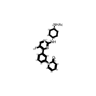 CC(=O)N[C@H]1CC[C@H](Nc2ncc(F)c(-c3cccc(-n4ccccc4=O)c3)n2)CC1